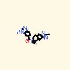 Cc1nc2cc3c(cc2n1C)[C@]1(C)CCN(C(=O)c2ccc4nc[nH]c4c2)C(C3)C1(C)C